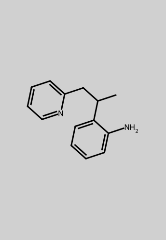 CC(Cc1ccccn1)c1ccccc1N